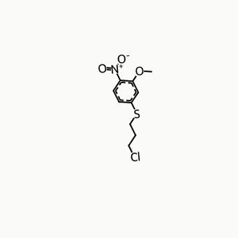 COc1cc(SCCCCl)ccc1[N+](=O)[O-]